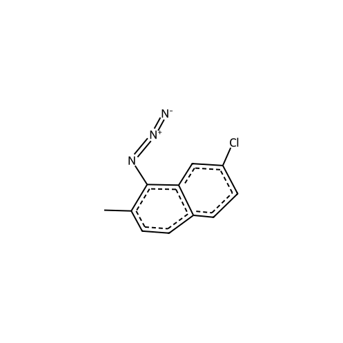 Cc1ccc2ccc(Cl)cc2c1N=[N+]=[N-]